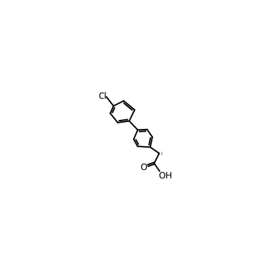 O=C(O)[C]c1ccc(-c2ccc(Cl)cc2)cc1